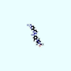 CCC(=O)N1C[C@@H]2C[C@H]1CN2c1ccc(Nc2nccc(-c3ccc(N)nc3)n2)cc1C